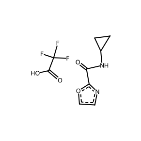 O=C(NC1CC1)c1ncco1.O=C(O)C(F)(F)F